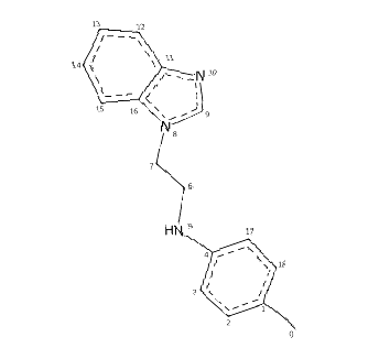 Cc1ccc(NCCn2cnc3ccccc32)cc1